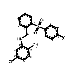 O=S(=O)(c1ccc(Cl)cc1)c1ccccc1CNc1cc(Cl)ccc1O